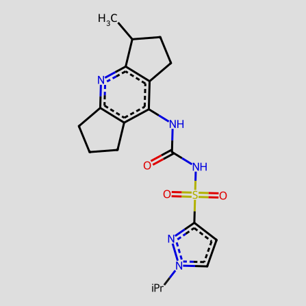 CC1CCc2c1nc1c(c2NC(=O)NS(=O)(=O)c2ccn(C(C)C)n2)CCC1